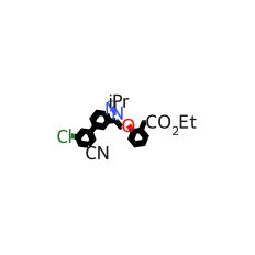 CCOC(=O)Cc1ccccc1OCc1nn(C(C)C)c2ccc(-c3cc(Cl)cc(C#N)c3)cc12